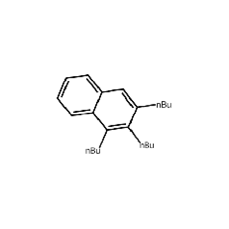 CCCCc1cc2ccccc2c(CCCC)c1CCCC